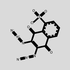 [N-]=[N+]=NC1=C(N=[N+]=[N-])C(=O)c2c(cccc2S(=O)(=O)Cl)C1=O